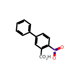 O=C(O)c1cc(-c2ccccc2)ccc1I(=O)=O